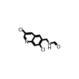 O=CNCc1cc2cc(Cl)cnc2cc1Cl